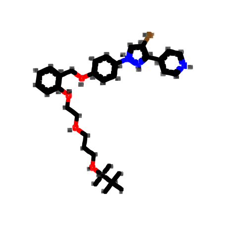 CC(C)(C)[Si](C)(C)OCCCOCCOc1ccccc1COc1ccc(-n2cc(Br)c(-c3ccncc3)n2)cc1